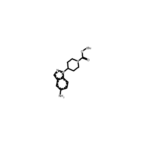 CC(C)(C)OC(=O)N1CCC(n2ncc3cc(N)ccc32)CC1